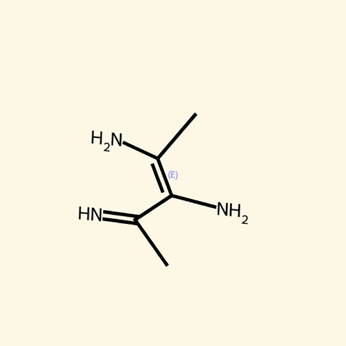 CC(=N)/C(N)=C(/C)N